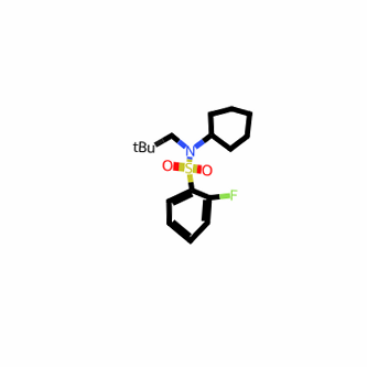 CC(C)(C)CN(C1CCCCC1)S(=O)(=O)c1ccccc1F